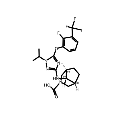 CC(C)n1nc(N[C@@H]2[C@@H]3CC[C@H]2CN(C(=O)O)C3)nc1Oc1cccc(C(F)(F)F)c1F